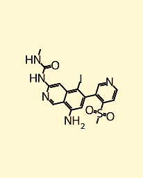 CNC(=O)Nc1cc2c(I)c(-c3cnccc3S(C)(=O)=O)cc(N)c2cn1